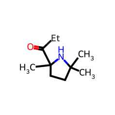 CCC(=O)C1(C)CCC(C)(C)N1